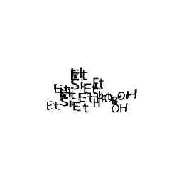 CC[SiH](CC)CC.CC[SiH](CC)CC.CC[SiH](CC)CC.OB(O)O